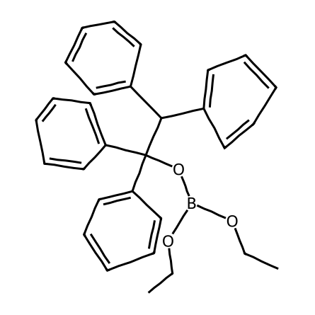 CCOB(OCC)OC(c1ccccc1)(c1ccccc1)C(c1ccccc1)c1ccccc1